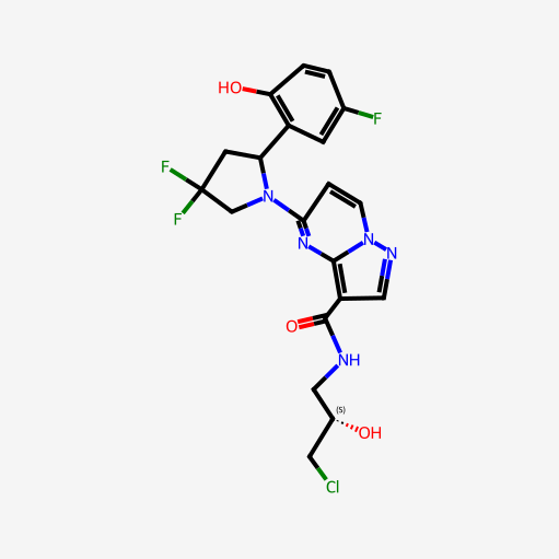 O=C(NC[C@H](O)CCl)c1cnn2ccc(N3CC(F)(F)CC3c3cc(F)ccc3O)nc12